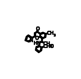 Cc1cc(C(C)Nc2ccccc2C=O)c2oc(-c3ccccn3)cc(=O)c2c1